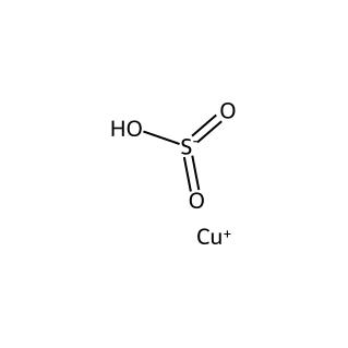 O=[S-](=O)O.[Cu+]